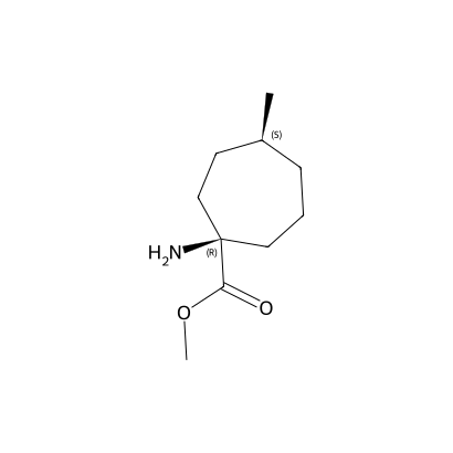 COC(=O)[C@@]1(N)CCC[C@H](C)CC1